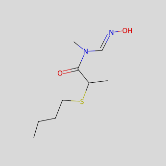 CCCCSC(C)C(=O)N(C)C=NO